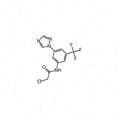 O=C(CCl)Nc1cc(-n2cncn2)cc(C(F)(F)F)c1